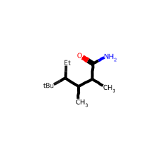 CCC(C(C)C(C)C(N)=O)C(C)(C)C